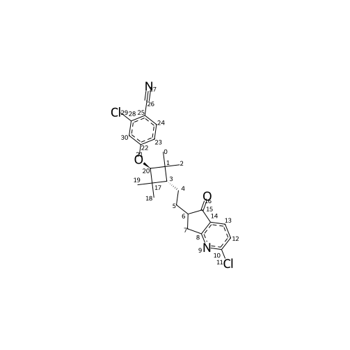 CC1(C)[C@H](CCC2Cc3nc(Cl)ccc3C2=O)C(C)(C)[C@H]1Oc1ccc(C#N)c(Cl)c1